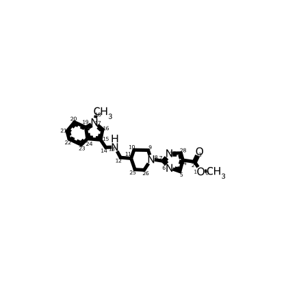 COC(=O)c1cnc(N2CCC(CNCc3cn(C)c4ccccc34)CC2)nc1